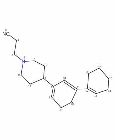 N#CCCN1CCC(C2=CC[CH]C(C3=CCCCC3)=C2)CC1